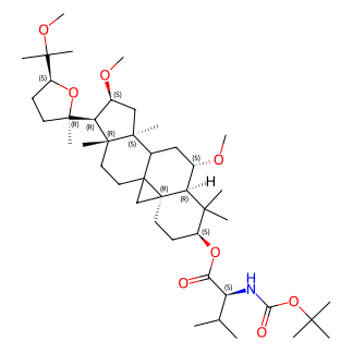 CO[C@H]1C[C@@]2(C)C3C[C@H](OC)[C@H]4C(C)(C)[C@@H](OC(=O)[C@@H](NC(=O)OC(C)(C)C)C(C)C)CC[C@@]45CC35CC[C@]2(C)[C@H]1[C@@]1(C)CC[C@@H](C(C)(C)OC)O1